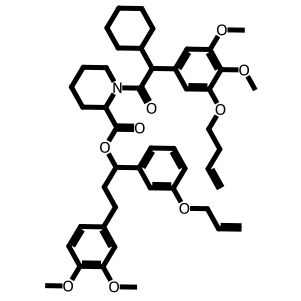 C=CCCOc1cc(C(C(=O)N2CCCCC2C(=O)OC(CCc2ccc(OC)c(OC)c2)c2cccc(OCC=C)c2)C2CCCCC2)cc(OC)c1OC